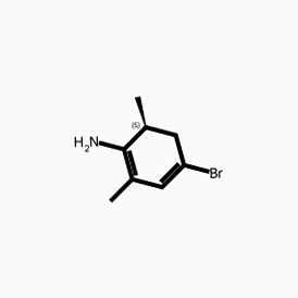 CC1=C(N)[C@@H](C)CC(Br)=C1